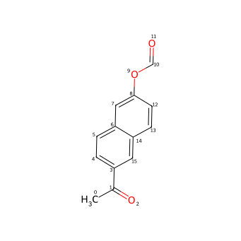 CC(=O)c1ccc2cc(OC=O)ccc2c1